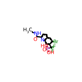 CCNC(=O)c1ccc2cc(Br)c(C(F)(F)P(=O)(O)O)cc2n1